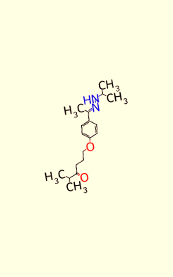 C/C(=N\NC(C)C)c1ccc(OCCCC(=O)C(C)C)cc1